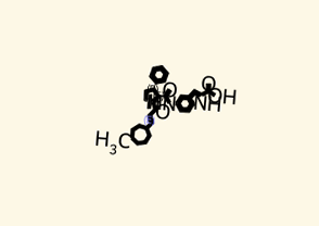 CC1CCCC(/C=C/C(=O)N2CC[C@H](c3ccccc3)[C@H]2C(=O)Nc2ccc3[nH]c(C(=O)O)cc3c2)CC1